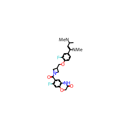 CN/C(=C\C(C)NC)c1ccc(OCC2CN(C(=O)c3cc4c(cc3F)OCC(=O)N4)C2)c(F)c1